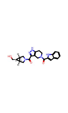 O=C(c1cc2ccccc2[nH]1)N1CCc2[nH]nc(C(=O)N3C[C@@H]4[C@@H](CO)[C@@H]4C3)c2C1